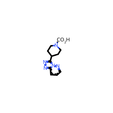 O=C(O)N1CCC(c2nnc3cccnn23)CC1